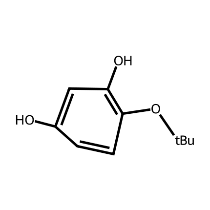 CC(C)(C)Oc1ccc(O)cc1O